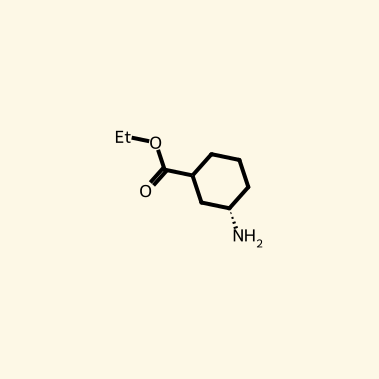 CCOC(=O)C1CCC[C@H](N)C1